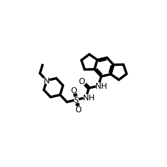 CCN1CCC(CS(=O)(=O)NC(=O)Nc2c3c(cc4c2CCC4)CCC3)CC1